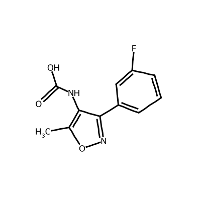 Cc1onc(-c2cccc(F)c2)c1NC(=O)O